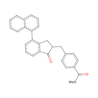 COC(=O)c1ccc(CC2Cc3c(cccc3-c3cccc4ccccc34)C2=O)cc1